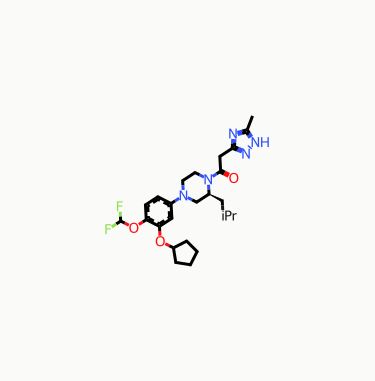 Cc1nc(CC(=O)N2CCN(c3ccc(OC(F)F)c(OC4CCCC4)c3)C[C@@H]2CC(C)C)n[nH]1